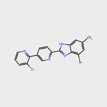 FC(F)(F)c1cc(Br)c2nc(-c3ccc(-c4ncccc4Cl)cn3)[nH]c2c1